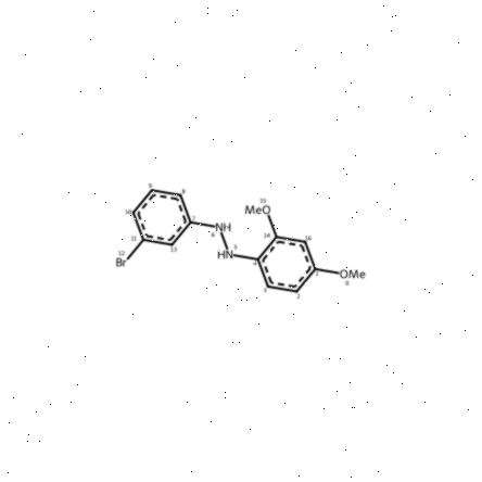 COc1ccc(NNc2cccc(Br)c2)c(OC)c1